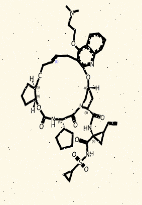 C=CC1C[C@]1(NC(=O)[C@@H]1C[C@@H]2CN1C(=O)[C@H](C1CCCC1)NC(=O)O[C@@H]1CCC[C@H]1CC/C=C/Cc1c(nc3ccccc3c1OCCN(C)C)O2)C(=O)NS(=O)(=O)C1CC1